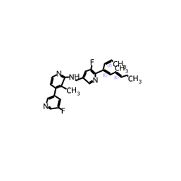 C\C=C/C(=C\C(C)=C\CC)c1ncc(CNc2nccc(-c3cncc(F)c3)c2C)cc1F